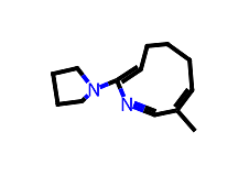 CC1=C/CCC/C=C(N2CCCC2)/N=C\1